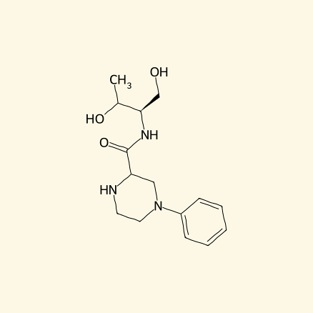 CC(O)[C@@H](CO)NC(=O)C1CN(c2ccccc2)CCN1